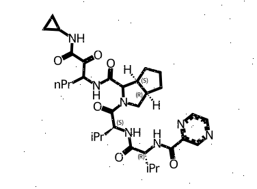 CCCC(NC(=O)C1[C@H]2CCC[C@H]2CN1C(=O)[C@@H](NC(=O)[C@H](NC(=O)c1cnccn1)C(C)C)C(C)C)C(=O)C(=O)NC1CC1